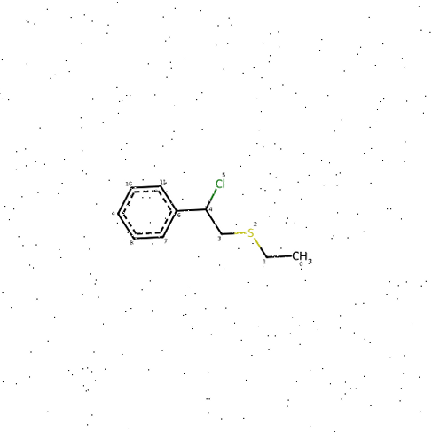 CCSC[C](Cl)c1ccccc1